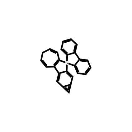 C1=c2cc3c(cc2=1)[Si]1(C2=C3C=CCC=C2)c2ccccc2-c2ccccc21